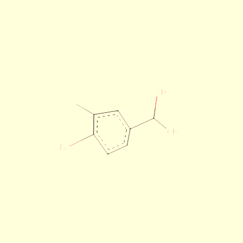 CC(O)c1ccc(Br)c(Cl)c1